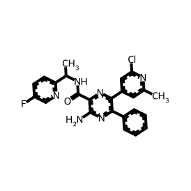 Cc1cc(-c2nc(C(=O)NC(C)c3ccc(F)cn3)c(N)nc2-c2ccccc2)cc(Cl)n1